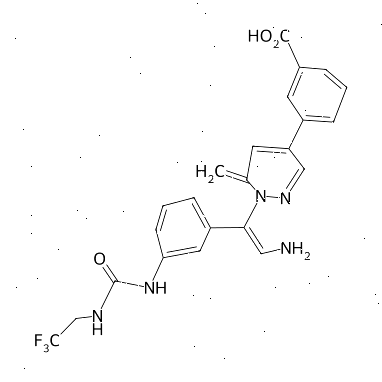 C=C1C=C(c2cccc(C(=O)O)c2)C=NN1/C(=C\N)c1cccc(NC(=O)NCC(F)(F)F)c1